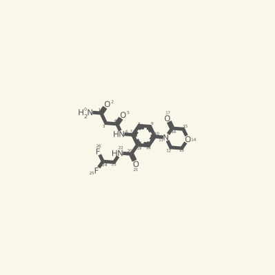 NC(=O)CC(=O)Nc1ccc(N2CCOCC2=O)cc1C(=O)NCC(F)F